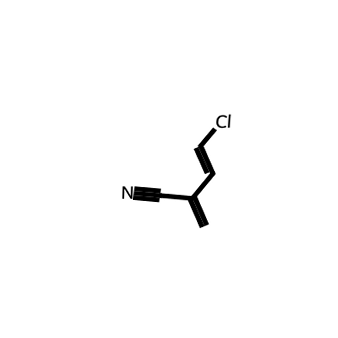 C=C(C#N)C=CCl